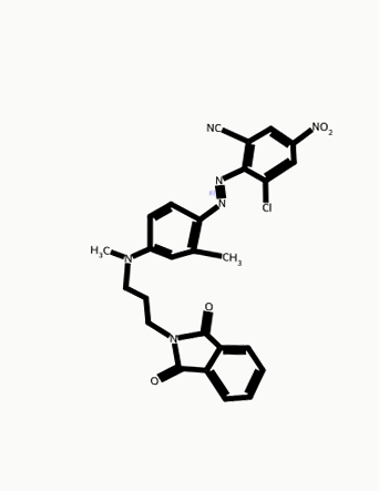 Cc1cc(N(C)CCCN2C(=O)c3ccccc3C2=O)ccc1/N=N/c1c(Cl)cc([N+](=O)[O-])cc1C#N